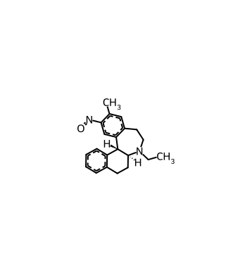 CCN1CCc2cc(C)c(N=O)cc2[C@H]2c3ccccc3CC[C@@H]21